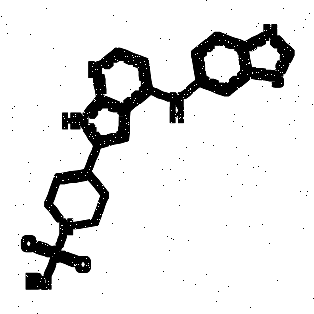 CCC(C)S(=O)(=O)N1CC=C(c2cc3c(Nc4ccc5ncsc5c4)ccnc3[nH]2)CC1